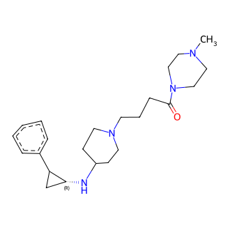 CN1CCN(C(=O)CCCN2CCC(N[C@@H]3CC3c3ccccc3)CC2)CC1